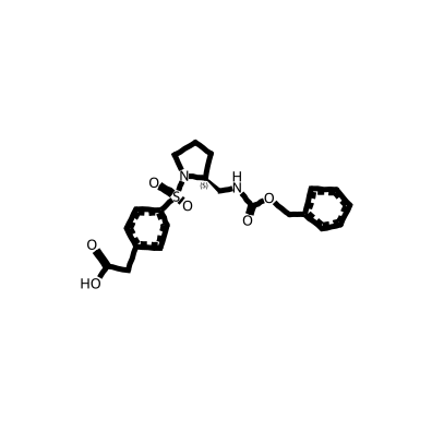 O=C(O)Cc1ccc(S(=O)(=O)N2CCC[C@H]2CNC(=O)OCc2ccccc2)cc1